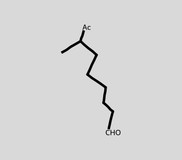 CC(=O)C(C)CCCCCC=O